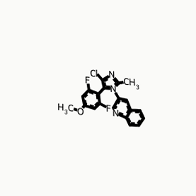 COc1cc(F)c(-c2c(Cl)nc(C)n2-c2cnc3ccccc3c2)c(F)c1